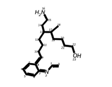 C=C/N=C1/C=CC=C/C1=C\CCCC(CCN)C(C)CCCCO